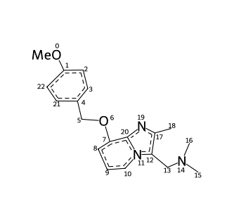 COc1ccc(COc2cccn3c(CN(C)C)c(C)nc23)cc1